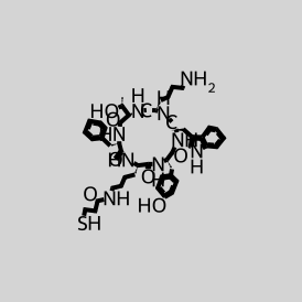 C[C@@H](O)[C@@H]1NC[C@H](CCCCN)NC[C@@H](Cc2c[nH]c3ccccc23)NC(=O)[C@H](Cc2ccc(O)cc2)NC(=O)[C@H](CCCCNC(=O)CCS)NC(=O)[C@H](Cc2ccccc2)NC1=O